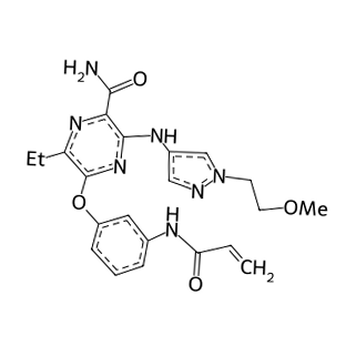 C=CC(=O)Nc1cccc(Oc2nc(Nc3cnn(CCOC)c3)c(C(N)=O)nc2CC)c1